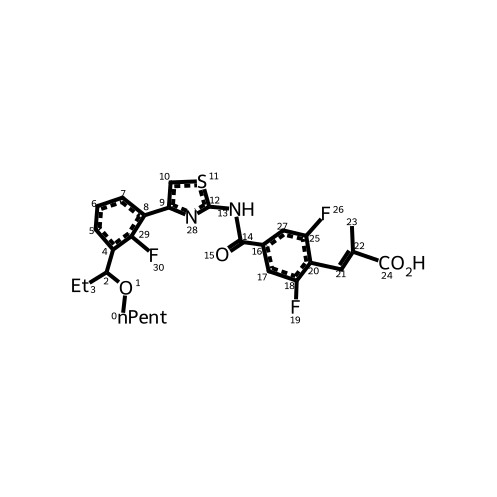 CCCCCOC(CC)c1cccc(-c2csc(NC(=O)c3cc(F)c(/C=C(\C)C(=O)O)c(F)c3)n2)c1F